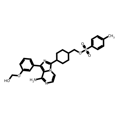 Cc1ccc(S(=O)(=O)OCC2CCC(c3nc(-c4cccc(OCO)c4)c4c(N)nccn34)CC2)cc1